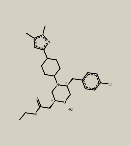 CCNC(=O)C[C@H]1CN(C2CCC(c3cc(C)n(C)n3)CC2)[C@@H](Cc2ccc(Cl)cc2)CO1.Cl